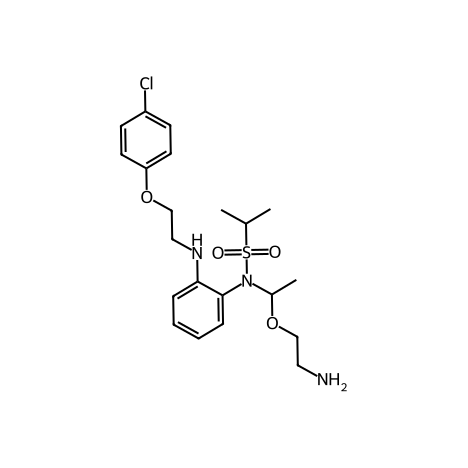 CC(OCCN)N(c1ccccc1NCCOc1ccc(Cl)cc1)S(=O)(=O)C(C)C